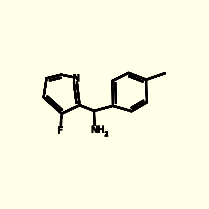 Cc1ccc(C(N)c2ncccc2F)cc1